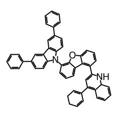 C1=CC2=C(C3=CCCC=C3)C=C(c3cccc4oc5c(-n6c7ccc(-c8ccccc8)cc7c7cc(-c8ccccc8)ccc76)cccc5c34)NC2C=C1